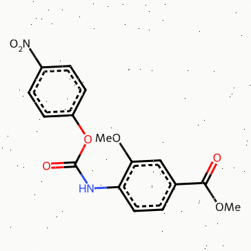 COC(=O)c1ccc(NC(=O)Oc2ccc([N+](=O)[O-])cc2)c(OC)c1